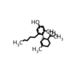 C=C(C)C1CCC(C)=C[C@H]1c1c(C)cc(O)cc1CCCCC